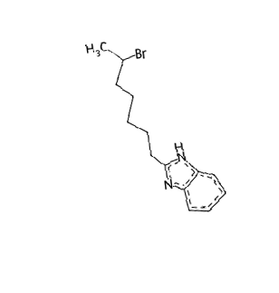 CC(Br)CCCCCc1nc2ccccc2[nH]1